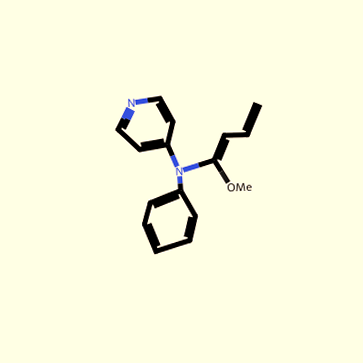 C=C/C=C(\OC)N(c1ccccc1)c1ccncc1